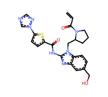 C=CC(=O)N1CCCC1Cn1c(NC(=O)c2ccc(-n3cncn3)s2)nc2cc(CO)ccc21